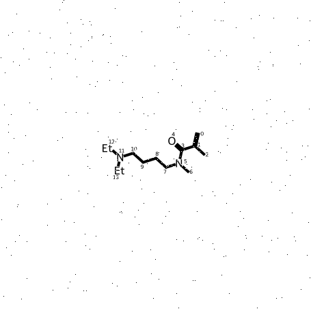 C=C(C)C(=O)N(C)CCCCN(CC)CC